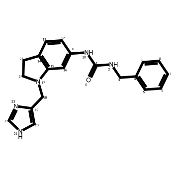 O=C(NCc1ccccc1)Nc1ccc2c(c1)N(Cc1c[nH]cn1)CC2